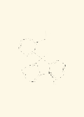 BOc1ccccc1P(=O)(c1ccccc1)c1ccccc1OB